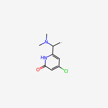 [CH2]C(c1cc(Cl)cc(=O)[nH]1)N(C)C